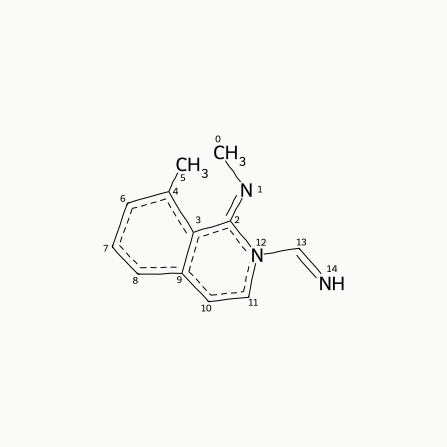 C/N=c1\c2c(C)cccc2ccn1C=N